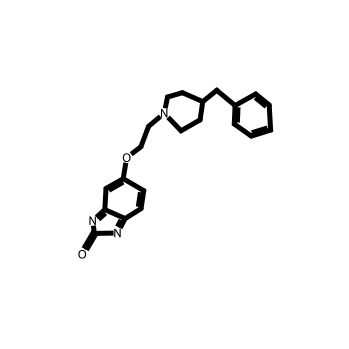 O=C1N=c2ccc(OCCN3CCC(Cc4ccccc4)CC3)cc2=N1